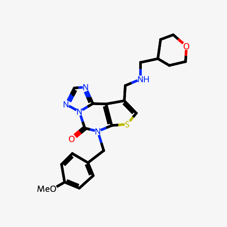 COc1ccc(Cn2c(=O)n3ncnc3c3c(CNCC4CCOCC4)csc32)cc1